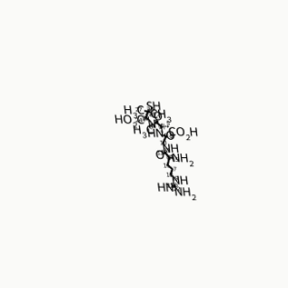 CN(C(=O)[C@H](CC(=O)O)NC(=O)CNC(=O)[C@@H](N)CCCNC(=N)N)[C@H](C(=O)O)C(C)(C)S